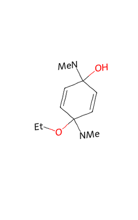 CCOC1(NC)C=CC(O)(NC)C=C1